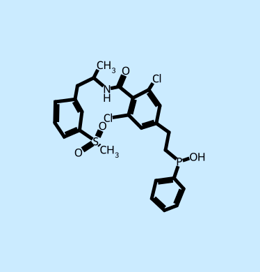 CC(Cc1cccc(S(C)(=O)=O)c1)NC(=O)c1c(Cl)cc(CCP(O)c2ccccc2)cc1Cl